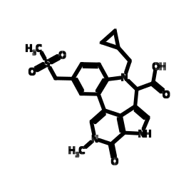 Cn1cc2c3c(c[nH]c3c1=O)C(C(=O)O)N(CC1CC1)c1ccc(CS(C)(=O)=O)cc1-2